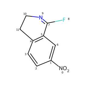 O=[N+]([O-])c1ccc2c(c1)C(F)=NCC2